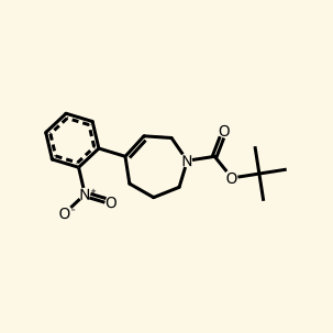 CC(C)(C)OC(=O)N1CC=C(c2ccccc2[N+](=O)[O-])CCC1